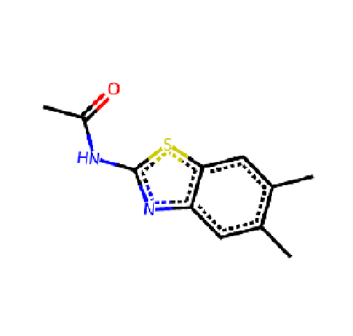 CC(=O)Nc1nc2cc(C)c(C)cc2s1